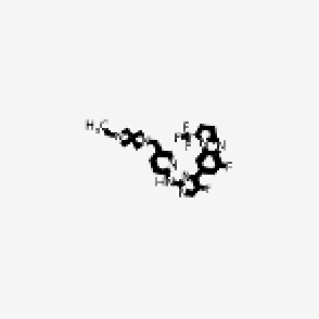 CCN1CC2(C1)CN(Cc1ccc(Nc3ncc(F)c(-c4cc(F)c5nc6n(c5c4)[C@H](C(F)(F)F)CC6)n3)nc1)C2